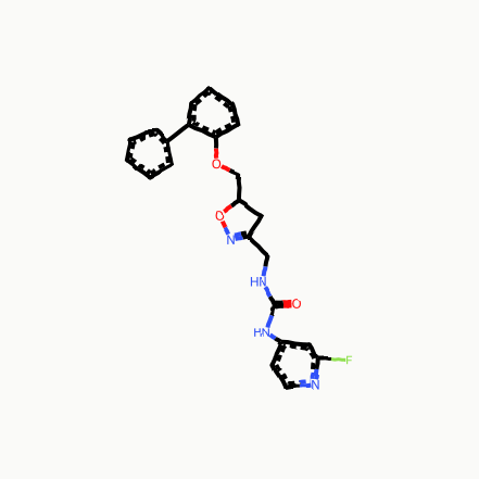 O=C(NCC1=NOC(COc2ccccc2-c2ccccc2)C1)Nc1ccnc(F)c1